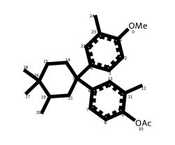 COc1ccc(C2(c3ccc(OC(C)=O)c(C)c3)CCC(C)(C)C(C)C2)cc1C